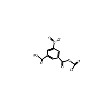 O=C(Cl)OC(=O)c1cc(C(=O)O)cc([N+](=O)[O-])c1